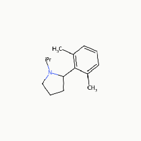 Cc1cccc(C)c1C1CCCN1C(C)C